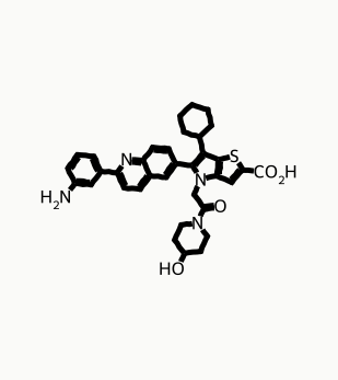 Nc1cccc(-c2ccc3cc(-c4c(C5CCCCC5)c5sc(C(=O)O)cc5n4CC(=O)N4CCC(O)CC4)ccc3n2)c1